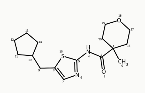 CC1(C(=O)Nc2ncc(CC3CCCC3)s2)CCOCC1